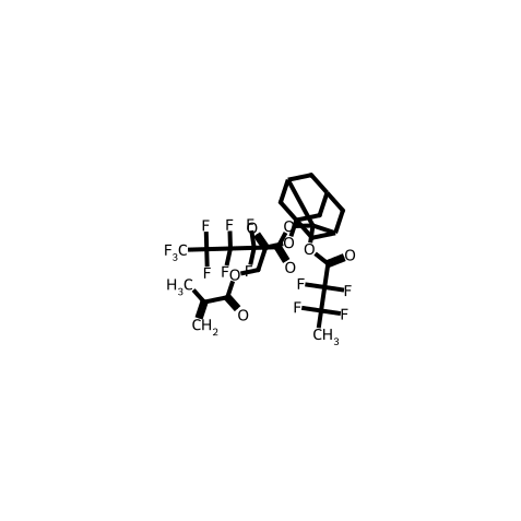 C=C(C)C(=O)OCC(=O)OC12CC3CC(C1)C(OC(=O)C(F)(F)C(C)(F)F)(OC(=O)C(F)(F)C(F)(F)C(F)(F)C(F)(F)F)C(C3)C2